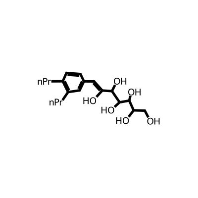 CCCc1ccc(C=C(O)C(O)C(O)C(O)C(O)CO)cc1CCC